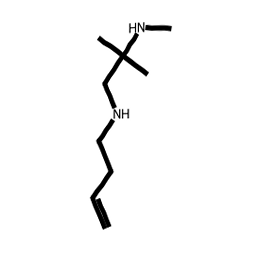 C=CCCNCC(C)(C)NC